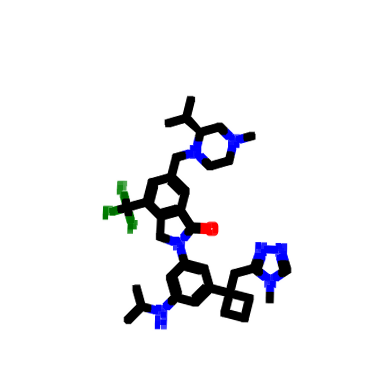 CC(C)Nc1cc(N2Cc3c(cc(CN4CCN(C)C[C@@H]4C(C)C)cc3C(F)(F)F)C2=O)cc(C2(Cc3nncn3C)CCC2)c1